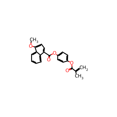 C=C(C)C(=O)Oc1ccc(OC(=O)c2ccc(OC)c3ccccc23)cc1